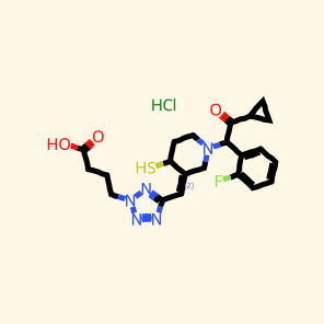 Cl.O=C(O)CCCn1nnc(/C=C2/CN(C(C(=O)C3CC3)c3ccccc3F)CCC2S)n1